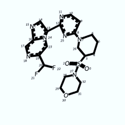 O=S(=O)(C1CCCN(c2ccnc(-c3cnc4cnc(C(F)F)cn34)n2)C1)N1CCOCC1